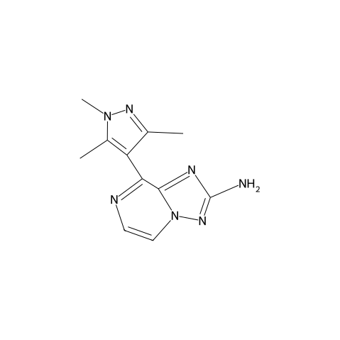 Cc1nn(C)c(C)c1-c1nccn2nc(N)nc12